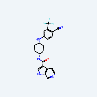 N#Cc1ccc(N[C@H]2CC[C@@H](NC(=O)c3c[nH]c4cnccc34)CC2)cc1C(F)(F)F